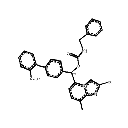 CCc1cn2c([C@H](OC(=O)NCc3ccccc3)c3ccc(-c4ccccc4C(=O)O)cc3)ccc(C)c2n1